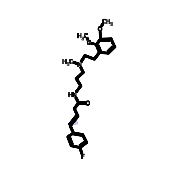 COc1cccc(CCN(C)CCCNC(=O)C/C=C/c2ccc(F)cc2)c1OC